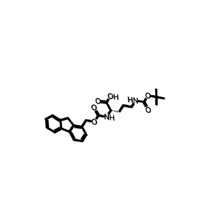 CC(C)(C)OC(=O)NCCC[C@H](NC(=O)OCc1cccc2c1Cc1ccccc1-2)C(=O)O